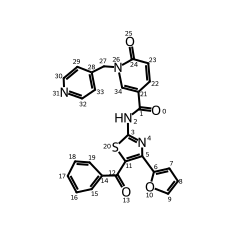 O=C(Nc1nc(-c2ccco2)c(C(=O)c2ccccc2)s1)c1ccc(=O)n(Cc2ccncc2)c1